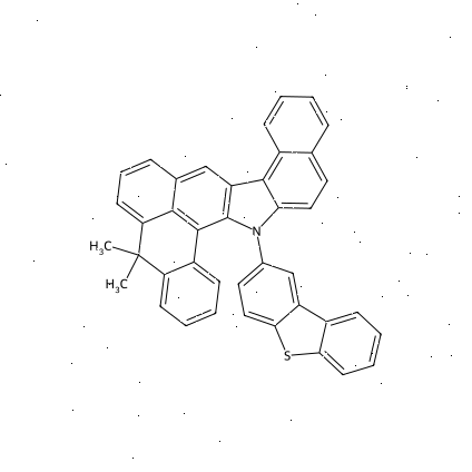 CC1(C)c2ccccc2-c2c3c1cccc3cc1c3c4ccccc4ccc3n(-c3ccc4sc5ccccc5c4c3)c21